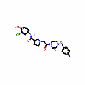 C[C@@H]1CN(C(=O)CN2CCC(C(=O)Nc3ccc(O)c(Cl)c3)C2)CCN1[C@H](C)c1ccc(I)cc1